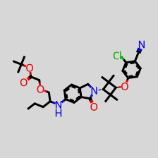 CCCC(COCC(=O)OC(C)(C)C)Nc1ccc2c(c1)C(=O)N([C@H]1C(C)(C)[C@H](Oc3ccc(C#N)c(Cl)c3)C1(C)C)C2